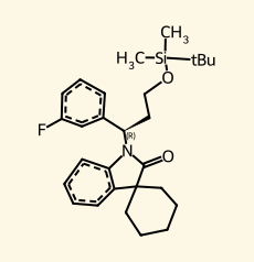 CC(C)(C)[Si](C)(C)OCC[C@H](c1cccc(F)c1)N1C(=O)C2(CCCCC2)c2ccccc21